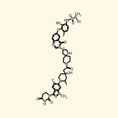 CCN(C)S(=O)(=O)Nc1ccc(F)c(Oc2ccc3ncn([C@H]4CNC5(CCN(C(=O)CC6(O)CCN(c7cc8c(cc7F)c(N7CCC(=O)NC7=O)nn8C)C(I)C6)CC5)C4)c(=O)c3c2)c1C#N